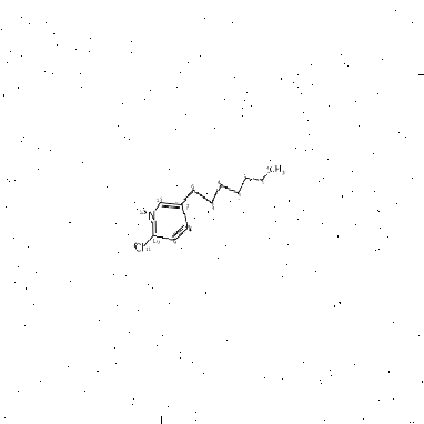 CCCCCCCc1ccc(Cl)nc1